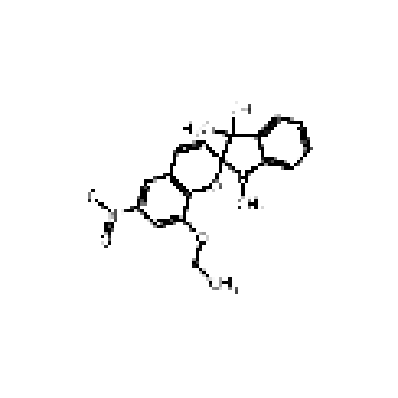 CCOc1cc([N+](=O)[O-])cc2c1OC1(C=C2)N(C)c2ccccc2C1(C)C